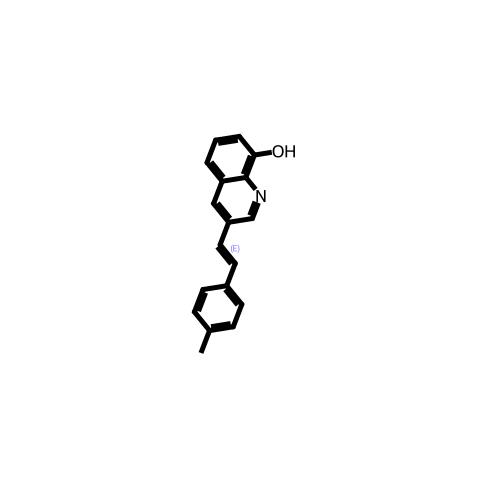 Cc1ccc(/C=C/c2cnc3c(O)cccc3c2)cc1